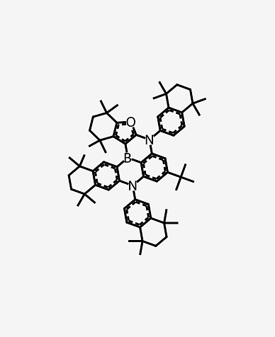 CC(C)(C)c1cc2c3c(c1)N(c1ccc4c(c1)C(C)(C)CCC4(C)C)c1oc4c(c1B3c1cc3c(cc1N2c1ccc2c(c1)C(C)(C)CCC2(C)C)C(C)(C)CCC3(C)C)C(C)(C)CCC4(C)C